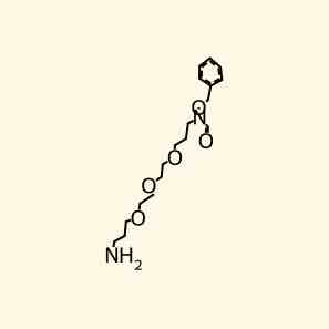 NCCCOCCOCCOCCCN(C=O)OCc1ccccc1